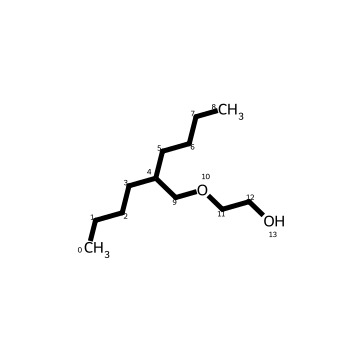 CCCCC(CCCC)COCCO